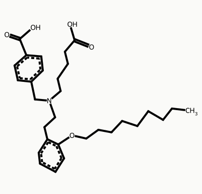 CCCCCCCCCOc1ccccc1CCN(CCCCC(=O)O)Cc1ccc(C(=O)O)cc1